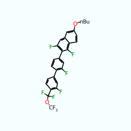 CCCCOc1ccc2c(F)c(-c3ccc(-c4ccc(C(F)(F)OC(F)(F)F)c(F)c4)c(F)c3)c(F)cc2c1